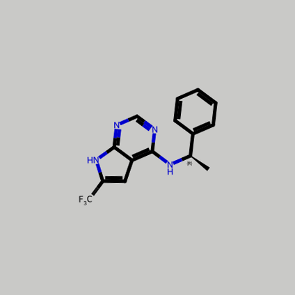 C[C@@H](Nc1ncnc2[nH]c(C(F)(F)F)cc12)c1ccccc1